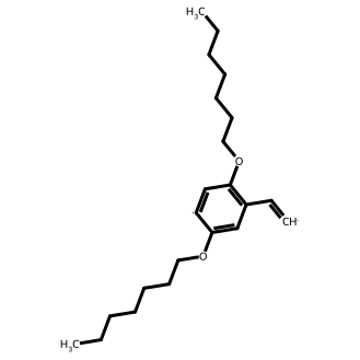 [CH]=Cc1cc(OCCCCCCC)[c]cc1OCCCCCCC